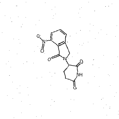 O=C1CCC(N2Cc3cccc([N+](=O)[O-])c3C2=O)C(=O)N1